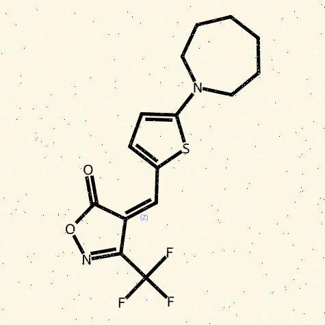 O=C1ON=C(C(F)(F)F)/C1=C/c1ccc(N2CCCCCC2)s1